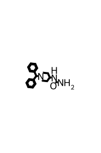 NC(=O)NC1CCN(C(c2ccccc2)c2ccccc2)CC1